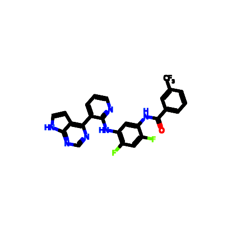 O=C(Nc1cc(Nc2ncccc2-c2ncnc3[nH]ccc23)c(F)cc1F)c1cccc(C(F)(F)F)c1